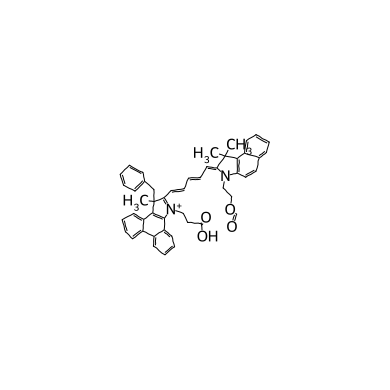 CC1(Cc2ccccc2)C(/C=C/C=C/C=C2\N(CCOC=O)c3ccc4ccccc4c3C2(C)C)=[N+](CCC(=O)O)c2c1c1ccccc1c1ccccc21